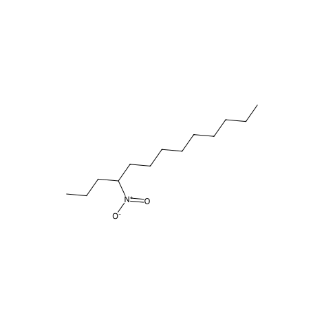 CCCCCCCCCC(CCC)[N+](=O)[O-]